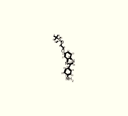 CC(C)(C)[Si](C)(C)OCCOc1ccc2ncc(-c3ccc(N)cc3)nc2c1